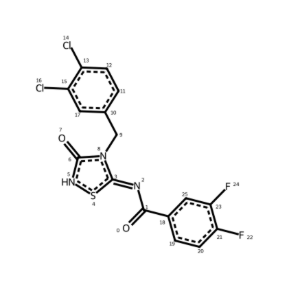 O=C(/N=c1\s[nH]c(=O)n1Cc1ccc(Cl)c(Cl)c1)c1ccc(F)c(F)c1